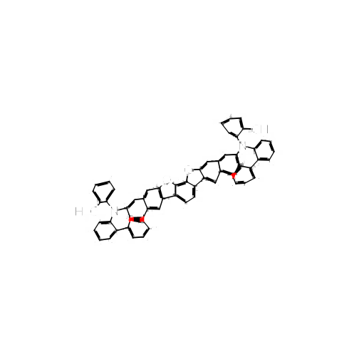 Cc1ccccc1N(c1ccc2cc3c(cc2c1)oc1c3ccc2c3cc4ccc(N(c5ccccc5C)c5ccccc5-c5ccccc5)cc4cc3oc21)c1ccccc1-c1ccccc1